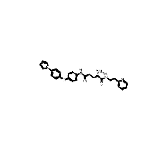 N[C@@H](CCC(=O)Nc1ccc(Oc2ccc(-n3cccc3)cc2)cc1)C(=O)NCCc1ccccn1